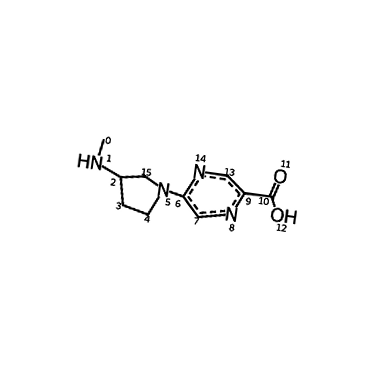 CNC1CCN(c2cnc(C(=O)O)cn2)C1